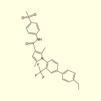 CCc1ccc(-c2ccc(-n3c(C)cc(C(=O)Nc4ccc(S(C)(=O)=O)cc4)c3C)c(C(F)(F)F)c2)cc1